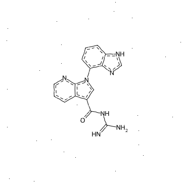 N=C(N)NC(=O)c1cn(-c2cccc3[nH]cnc23)c2ncccc12